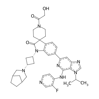 CC(C)n1cnc2cc(-c3ccc4c(c3)N([C@H]3C[C@@H](N5CC6CCC(C6)C5)C3)C(=O)C43CCN(C(=O)CO)CC3)nc(Nc3ccncc3F)c21